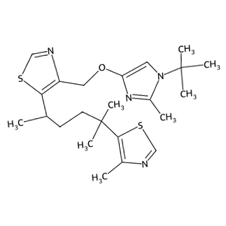 Cc1ncsc1C(C)(C)CCC(C)c1scnc1COc1cn(C(C)(C)C)c(C)n1